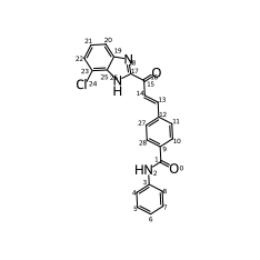 O=C(Nc1ccccc1)c1ccc(C=CC(=O)c2nc3cccc(Cl)c3[nH]2)cc1